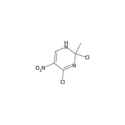 CC1(Cl)N=C(Cl)C([N+](=O)[O-])=CN1